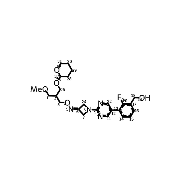 COCC(CON=C1CN(c2ncc(-c3cccc(CO)c3F)cn2)C1)COC1CCCCO1